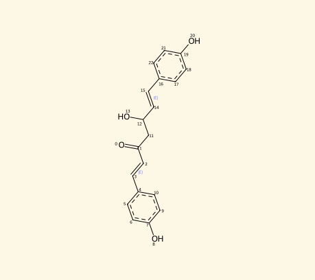 O=C(/C=C/c1ccc(O)cc1)CC(O)/C=C/c1ccc(O)cc1